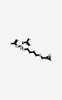 C=C(C)O[SiH](OCCCCOCC1CO1)OC(=C)C